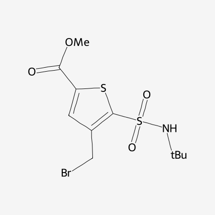 COC(=O)c1cc(CBr)c(S(=O)(=O)NC(C)(C)C)s1